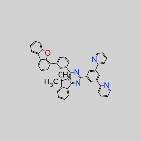 CC1(C)c2ccccc2-c2nc(-c3cc(-c4ccccn4)cc(-c4ccccn4)c3)nc(-c3cccc(-c4cccc5c4oc4ccccc45)c3)c21